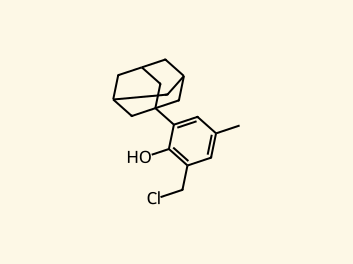 Cc1cc(CCl)c(O)c(C23CC4CC(CC(C4)C2)C3)c1